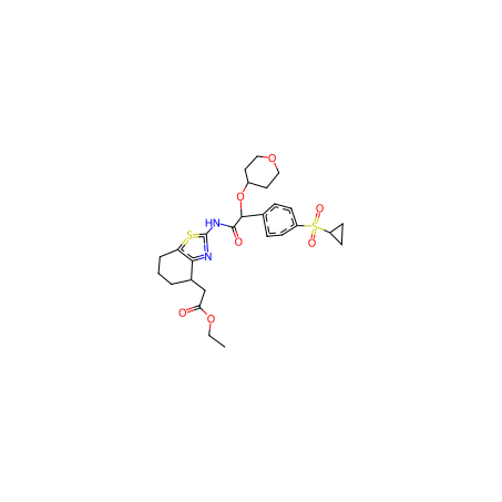 CCOC(=O)CC1CCCc2sc(NC(=O)C(OC3CCOCC3)c3ccc(S(=O)(=O)C4CC4)cc3)nc21